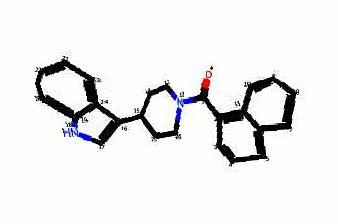 O=C(c1[c]ccc2ccccc12)N1CCC(c2c[nH]c3ccccc23)CC1